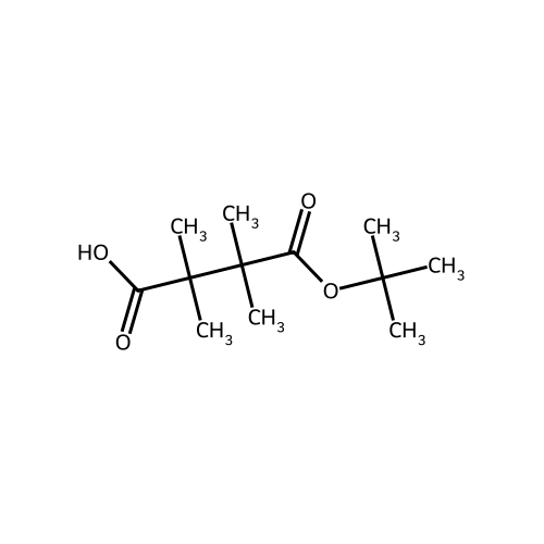 CC(C)(C)OC(=O)C(C)(C)C(C)(C)C(=O)O